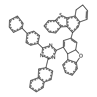 C1=Cc2cc(C3=CC4Oc5ccccc5C4C(c4nc(-c5ccc(-c6ccccc6)cc5)nc(-c5ccc6ccccc6c5)n4)=C3)c3c(sc4ccccc43)c2CC1